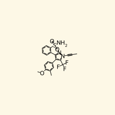 CC#Cn1nc(-c2ccccc2S(N)(=O)=O)c(-c2ccc(OC)c(C)c2)c1C(F)(F)F